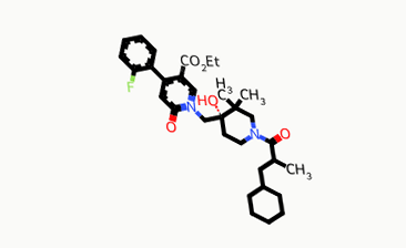 CCOC(=O)c1cn(C[C@]2(O)CCN(C(=O)C(C)CC3CCCCC3)CC2(C)C)c(=O)cc1-c1ccccc1F